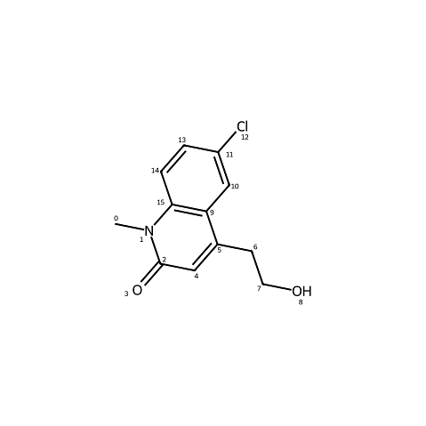 Cn1c(=O)cc(CCO)c2cc(Cl)ccc21